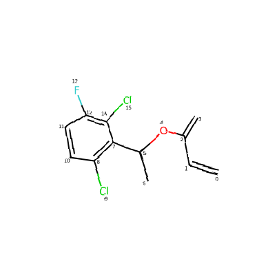 C=CC(=C)OC(C)c1c(Cl)ccc(F)c1Cl